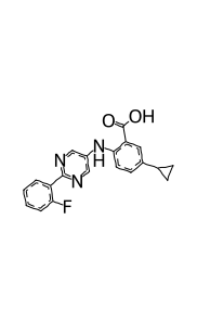 O=C(O)c1cc(C2CC2)ccc1Nc1cnc(-c2ccccc2F)nc1